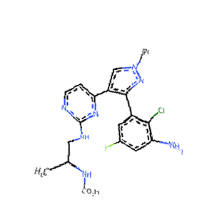 CC(CNc1nccc(-c2cn(C(C)C)nc2-c2cc(F)cc(N)c2Cl)n1)NC(=O)O